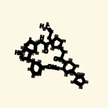 C=CCC1(C(=O)Nc2ccc3[nH]nc(-c4ccnc(OC)c4)c3c2)CCN(CC(=O)N2CC=C(C3=CCC=C3)CC2)C1